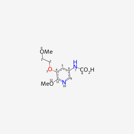 COCCOc1cc(NC(=O)O)cnc1OC